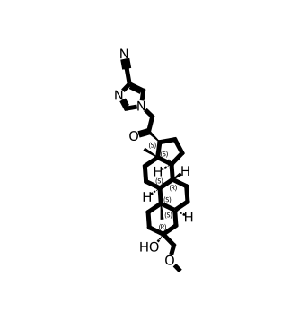 COC[C@@]1(O)CC[C@@]2(C)[C@@H](CC[C@@H]3[C@@H]2CC[C@]2(C)[C@@H](C(=O)Cn4cnc(C#N)c4)CC[C@@H]32)C1